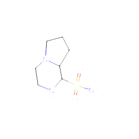 NS(=O)(=O)C1NCCN2CCCC12